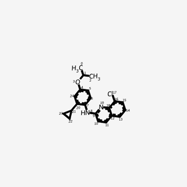 CC(C)Oc1ccc(Nc2ccc3cccc(Cl)c3n2)c(C2CC2)c1